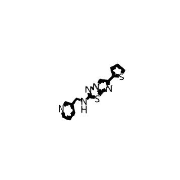 c1cncc(CNc2nn3cc(-c4cccs4)nc3s2)c1